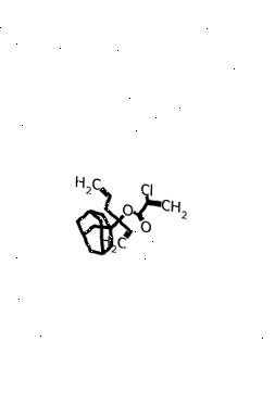 C=CCC(C=C)(OC(=O)C(=C)Cl)C12CC3CC(CC(C3)C1)C2